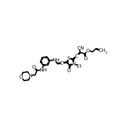 C=CCOC(=O)C(=C=c1sc(=C=CNc2cccc(NC(=O)CN3CCOCC3)c2)c(=O)n1CC)C#N